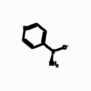 N[S@+]([O-])c1ccncc1